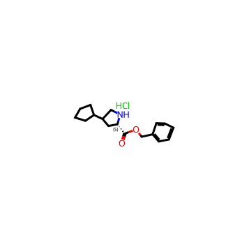 Cl.O=C(OCc1ccccc1)[C@@H]1CC(C2CCCC2)CN1